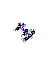 Cc1sc2c(c1C)C(c1ccc(Cl)cc1)=N[C@@H](CC(=O)NCCC(C=O)CN[C@@H](Cc1ccccc1)C(=O)N1C/C(=C\c3ccc(Cl)c(Cl)c3)C(=O)/C(=C/c3ccc(Cl)c(Cl)c3)C1)c1nnc(C)n1-2